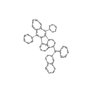 c1ccc(-c2c3c(c(-c4ccccc4)c4ccccc24)-c2ccc(N(c4ccccc4)c4ccc5ncccc5c4)c4cccc-3c24)cc1